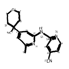 Cc1cc(C2(C#N)CCOCC2)cc(Nc2cc(C#N)ccn2)n1